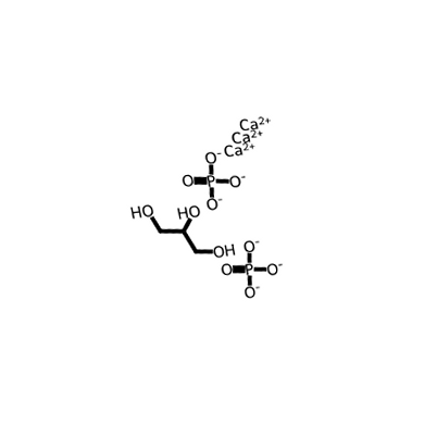 O=P([O-])([O-])[O-].O=P([O-])([O-])[O-].OCC(O)CO.[Ca+2].[Ca+2].[Ca+2]